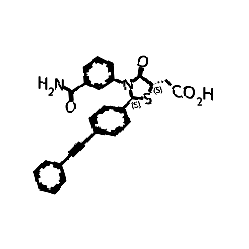 NC(=O)c1cccc(N2C(=O)[C@H](CC(=O)O)S[C@H]2c2ccc(C#Cc3ccccc3)cc2)c1